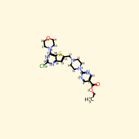 CCOC(=O)c1cnc(N2CCN(Cc3cc4nc(Cl)nc(N5CCOCC5)c4s3)CC2)nc1